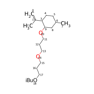 C=C(C)C1CCC(C)CC1OCCCOCCCOCC(C)C